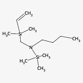 C=C[Si](C)(C)CN(CCCC)[Si](C)(C)C